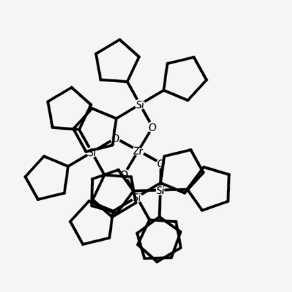 C1CCC([Si]([O][Zr]([O][Si](C2CCCC2)(C2CCCC2)C2CCCC2)([O][Si](C2CCCC2)(C2CCCC2)C2CCCC2)[O][Si](C2CCCC2)(C2CCCC2)C2CCCC2)(C2CCCC2)C2CCCC2)C1